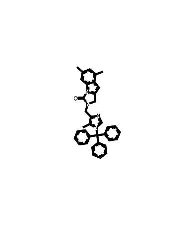 Cc1cc(C)c2cc3n(c2c1)C(=O)N(Cc1ncn(C(c2ccccc2)(c2ccccc2)c2ccccc2)c1C)C3